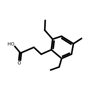 CCc1cc(C)cc(CC)c1CCC(=O)O